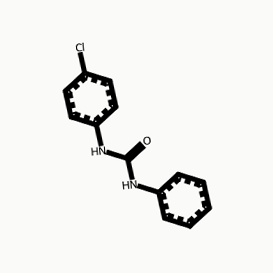 O=C(Nc1c[c]ccc1)Nc1ccc(Cl)cc1